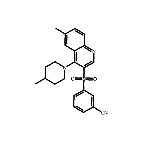 Cc1ccc2ncc(S(=O)(=O)c3cccc(C#N)c3)c(N3CCC(C)CC3)c2c1